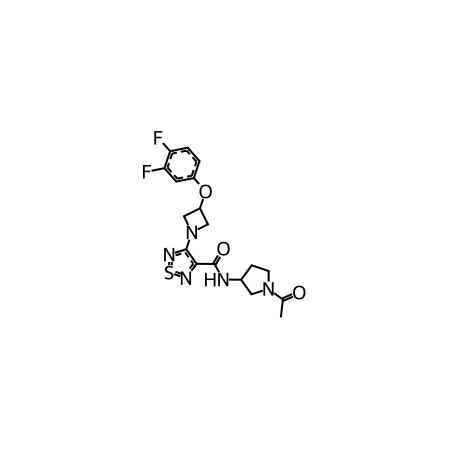 CC(=O)N1CCC(NC(=O)c2nsnc2N2CC(Oc3ccc(F)c(F)c3)C2)C1